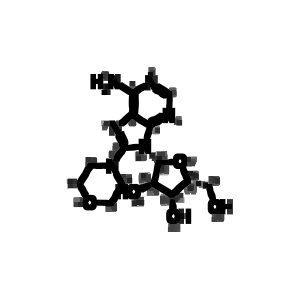 Nc1ncnc2c1nc(N1CCOCC1)n2[C@@H]1O[C@H](CO)[C@@H](O)[C@H]1O